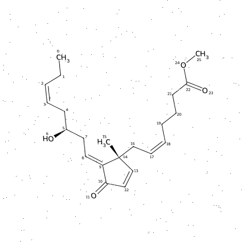 CC/C=C\C[C@H](O)C/C=C1/C(=O)C=C[C@@]1(C)C/C=C\CCCC(=O)OC